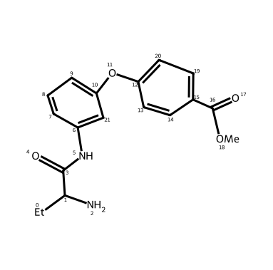 CCC(N)C(=O)Nc1cccc(Oc2ccc(C(=O)OC)cc2)c1